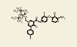 CC(C)(C)OP(=O)(OCn1cc(C(=O)Nc2ccc(Oc3ccnc(N)c3Cl)c(F)c2)c(=O)c(-c2ccc(F)cc2)c1)OC(C)(C)C